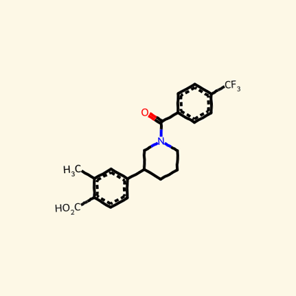 Cc1cc(C2CCCN(C(=O)c3ccc(C(F)(F)F)cc3)C2)ccc1C(=O)O